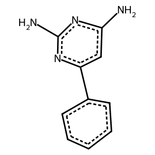 Nc1cc(-c2ccccc2)nc(N)n1